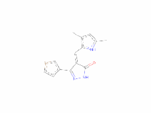 Cc1cc(C)c(C=C2C(=O)NN=C2c2ccsc2)[nH]1